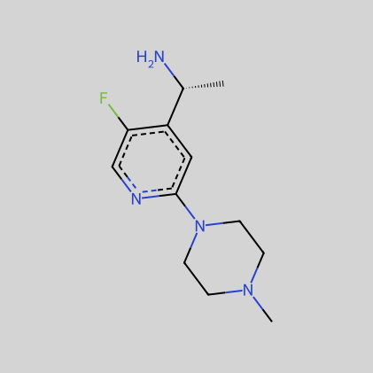 C[C@@H](N)c1cc(N2CCN(C)CC2)ncc1F